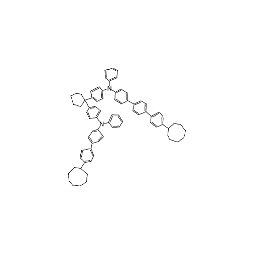 c1ccc(N(c2ccc(-c3ccc(-c4ccc(C5CCCCCCC5)cc4)cc3)cc2)c2ccc(C3(c4ccc(N(c5ccccc5)c5ccc(-c6ccc(C7CCCCCCC7)cc6)cc5)cc4)CCCCC3)cc2)cc1